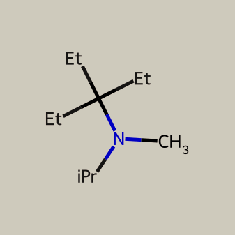 CCC(CC)(CC)N(C)C(C)C